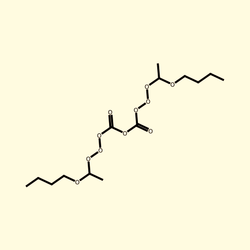 CCCCOC(C)OOOC(=O)OC(=O)OOOC(C)OCCCC